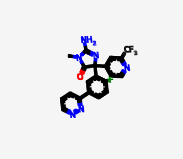 CN1C(=O)C(c2ccnc(C(F)(F)F)c2)(c2cc(-c3cccnn3)ccc2F)N=C1N